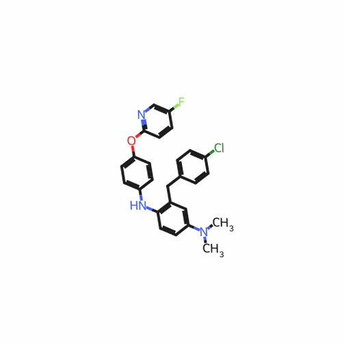 CN(C)c1ccc(Nc2ccc(Oc3ccc(F)cn3)cc2)c(Cc2ccc(Cl)cc2)c1